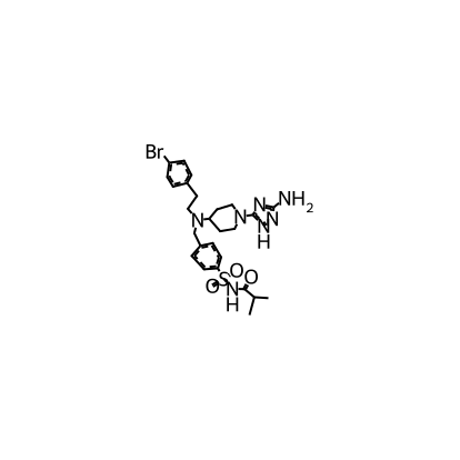 CC(C)C(=O)NS(=O)(=O)c1ccc(CN(CCc2ccc(Br)cc2)C2CCN(c3nc(N)n[nH]3)CC2)cc1